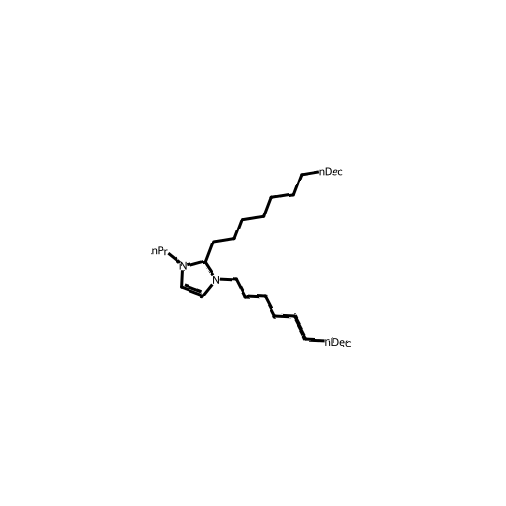 CCCCCCCCCCCCCCCCCC1N(CCC)C=CN1CCCCCCCCCCCCCCCC